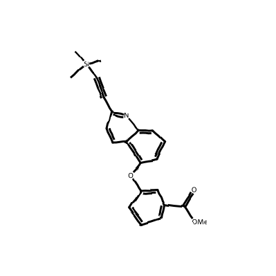 COC(=O)c1cccc(Oc2cccc3nc(C#C[Si](C)(C)C)ccc23)c1